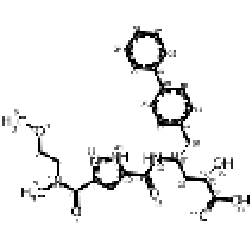 COCCN(C)C(=O)c1cc(C(=O)N[C@H](Cc2ccc(-c3ccccc3)cc2)C[C@H](O)C(=O)O)[nH]n1